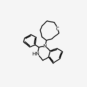 c1ccc(C2NCc3ccccc3N2C2CCCCCCCC2)cc1